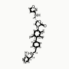 O=C1O[C@@H](CNc2ccon2)CN1c1cc(F)c(-c2ccc(CNCc3cnn[nH]3)cc2)c(F)c1F